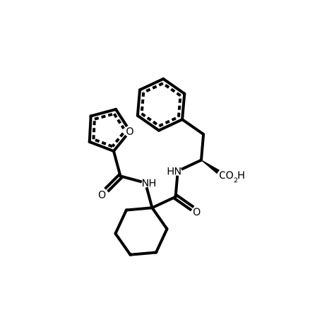 O=C(NC1(C(=O)N[C@@H](Cc2ccccc2)C(=O)O)CCCCC1)c1ccco1